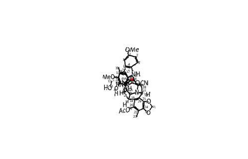 COc1ccc2[nH]c3c(c2c1)C[C@@H](CO)N[C@]31CS[C@@H]2c3c(OC(C)=O)c(C)c4c(c3[C@H](COC1=O)N1[C@@H]2[C@@H]2c3c(cc(C)c(OC)c3O)CC1(C#N)CN2C)OCO4